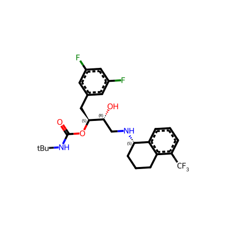 CC(C)(C)NC(=O)O[C@@H](Cc1cc(F)cc(F)c1)[C@H](O)CN[C@H]1CCCc2c1cccc2C(F)(F)F